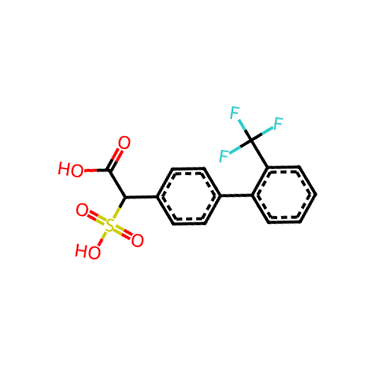 O=C(O)C(c1ccc(-c2ccccc2C(F)(F)F)cc1)S(=O)(=O)O